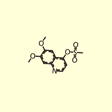 COc1cc2nccc(OS(C)(=O)=O)c2cc1OC